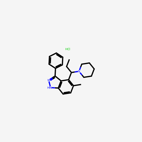 CCC(c1c(C)ccc2[nH]nc(-c3ccccc3)c12)N1CCCCC1.Cl